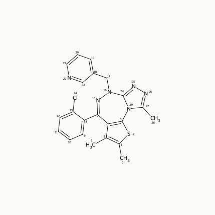 Cc1sc2c(c1C)C(c1ccccc1Cl)=NN(Cc1cccnc1)c1nnc(C)n1-2